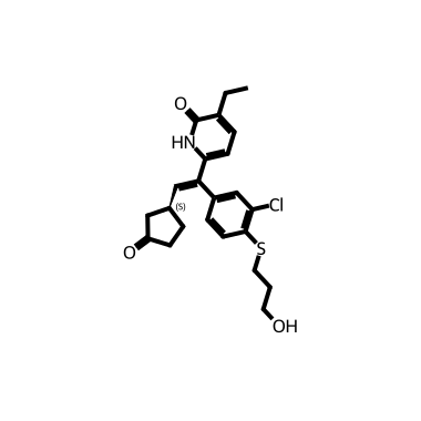 CCc1ccc(C(=C[C@H]2CCC(=O)C2)c2ccc(SCCCO)c(Cl)c2)[nH]c1=O